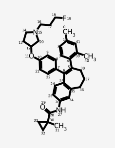 Cc1ccc(C2=C(c3ccc(OC4CCN(CCCF)C4)cc3)c3ccc(NC(=O)C4(C)CC4)cc3CCC2)c(C)c1